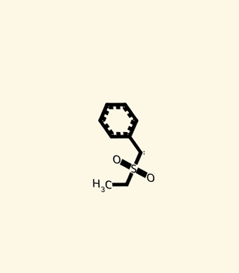 CCS(=O)(=O)[C]c1ccccc1